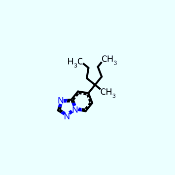 CCCC(C)(CCC)c1ccn2ncnc2c1